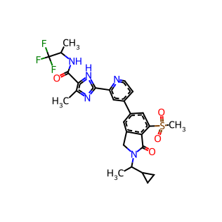 Cc1nc(-c2cc(-c3cc4c(c(S(C)(=O)=O)c3)C(=O)N(C(C)C3CC3)C4)ccn2)[nH]c1C(=O)NC(C)C(F)(F)F